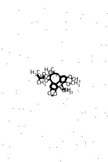 C/C=C(/C)C(=O)OC1c2cc3c(c(OC)c2-c2c(cc(OC)c(OC)c2OC)C[C@H](C)[C@@]1(C)O)OCO3